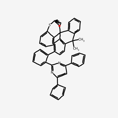 CC1(C)c2ccccc2C2(c3ccccc3Sc3ccccc32)c2cc(-c3ccccc3-c3nc(-c4ccccc4)cc(-c4ccccc4)n3)ccc21